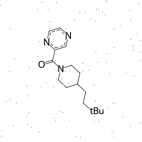 CC(C)(C)CCC1CCN(C(=O)c2cnccn2)CC1